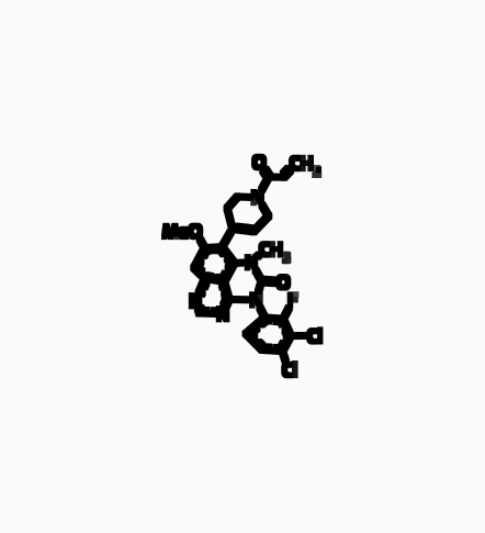 C=CC(=O)N1CC=C(c2c(OC)cc3ncnc4c3c2N(C)C(=O)N4c2ccc(Cl)c(Cl)c2F)CC1